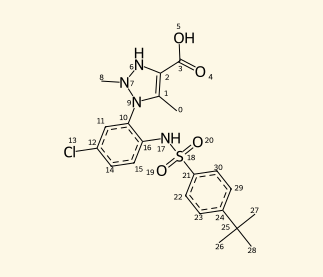 CC1=C(C(=O)O)NN(C)N1c1cc(Cl)ccc1NS(=O)(=O)c1ccc(C(C)(C)C)cc1